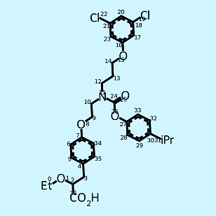 CCOC(Cc1ccc(OCCN(CCCOc2cc(Cl)cc(Cl)c2)C(=O)Oc2ccc(C(C)C)cc2)cc1)C(=O)O